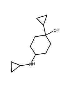 OC1(C2CC2)CCC(NC2CC2)CC1